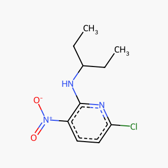 CCC(CC)Nc1nc(Cl)ccc1[N+](=O)[O-]